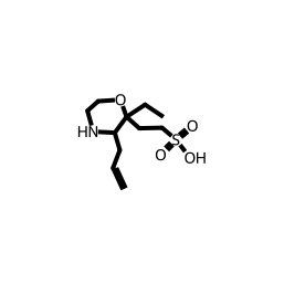 C=CCC1NCCOC1(CC)CCS(=O)(=O)O